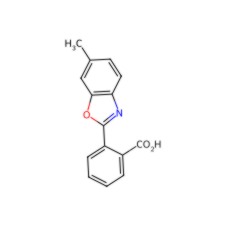 Cc1ccc2nc(-c3ccccc3C(=O)O)oc2c1